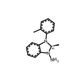 Cc1ccccc1N1c2ccccc2N(N)[C@@H]1C